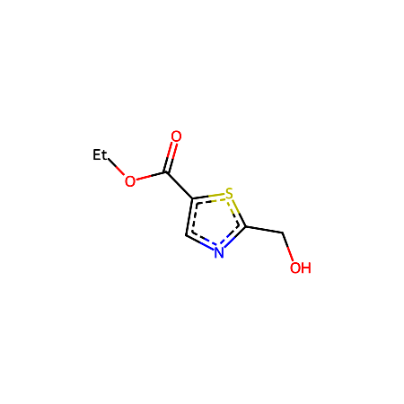 CCOC(=O)c1cnc(CO)s1